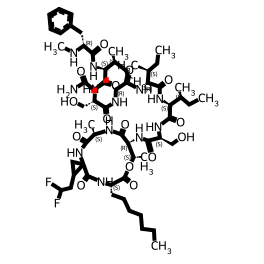 CCCCCCC[C@@H]1NC(=O)C2(CC2CC(F)F)NC(=O)[C@H](C)NC(=O)[C@H](NC(=O)[C@H](CO)NC(=O)[C@@H](NC(=O)[C@H](NC(=O)[C@@H](CCC(N)=O)NC(=O)[C@H](CO)NC(=O)[C@@H](NC(=O)[C@@H](Cc2ccccc2)NC)[C@@H](C)CC)[C@@H](C)CC)[C@@H](C)CC)[C@H](C)OC1=O